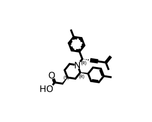 C=C(C)C#C[C@@H](c1ccc(C)cc1)N1CC[C@H](CC(=O)O)C[C@@H]1C1C=CC(C)=CC1